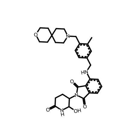 Cc1cc(CNc2cccc3c2C(=O)N(C2CCC(=O)NC2O)C3=O)ccc1CN1CCC2(CCOCC2)CC1